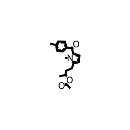 CC(=O)OC(C)CCc1ccc(C(=O)c2ccc(C)cc2)n1C